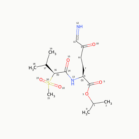 CC(C)OC(=O)[C@H](CCC(=O)C=N)NC(=O)[C@H](C(C)C)S(C)(=O)=O